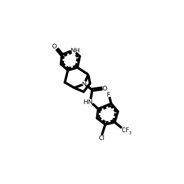 O=C(Nc1cc(Cl)c(C(F)(F)F)cc1F)N1C2CCC1c1c[nH]c(=O)cc1C2